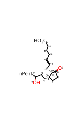 CCCCCC(O)CC[C@H]1CCC(=O)[C@H]1CC=CCCCC(=O)O